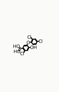 OB(O)c1cc(Oc2ccc(Cl)cc2Cl)c(O)cc1Cl